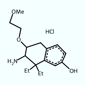 CCC1(CC)c2cc(O)ccc2CC(OCCOC)C1N.Cl